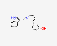 Oc1cccc(C2CCCN(CCc3c[nH]c4ccccc34)C2)c1